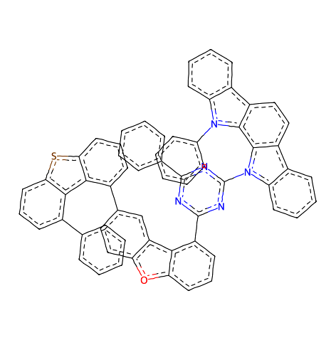 c1ccc(-c2nc(-c3cccc4oc5ccc(-c6cccc7sc8cccc(-c9ccccc9)c8c67)cc5c34)nc(-n3c4ccccc4c4ccc5c6ccccc6n(-c6ccccc6)c5c43)n2)cc1